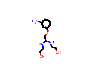 Nc1cccc(OCC(NCCO)NCCO)c1